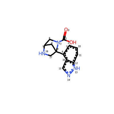 O=C(O)N1CC2CC1(c1cccc3[nH]ncc13)CN2